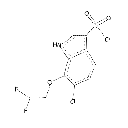 O=S(=O)(Cl)c1c[nH]c2c(OCC(F)F)c(Cl)ccc12